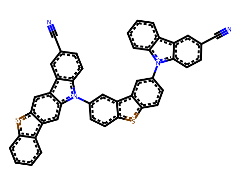 N#Cc1ccc2c(c1)c1ccccc1n2-c1ccc2sc3ccc(-n4c5ccc(C#N)cc5c5cc6sc7ccccc7c6cc54)cc3c2c1